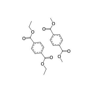 CCOC(=O)c1ccc(C(=O)OCC)cc1.COC(=O)c1ccc(C(=O)OC)cc1